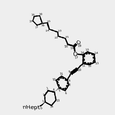 CCCCCCC[C@H]1CC[C@H](c2ccc(C#Cc3ccccc3OC(=O)CCCCCCC3CCCC3)cc2)CC1